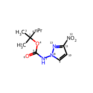 CCCC(C)(C)OC(=O)Nn1ccc([N+](=O)[O-])n1